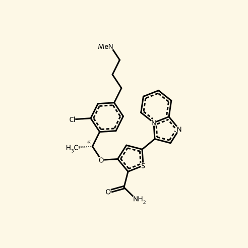 CNCCCc1ccc([C@@H](C)Oc2cc(-c3cnc4ccccn34)sc2C(N)=O)c(Cl)c1